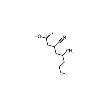 CCCC(C)CC(C#N)CC(=O)O